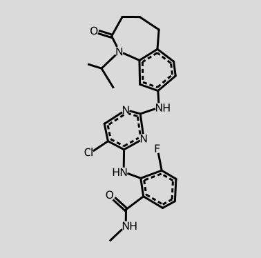 CNC(=O)c1cccc(F)c1Nc1nc(Nc2ccc3c(c2)N(C(C)C)C(=O)CCC3)ncc1Cl